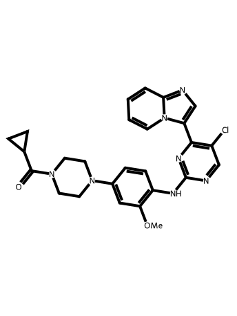 COc1cc(N2CCN(C(=O)C3CC3)CC2)ccc1Nc1ncc(Cl)c(-c2cnc3ccccn23)n1